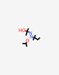 CC(C)=O.CCC(C)(C)N=NC(C)(C)O